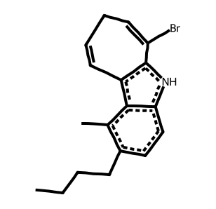 CCCCc1ccc2[nH]c3c(c2c1C)C=CCC=C3Br